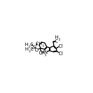 C=Cc1c(Cl)c(Cl)cc2[nH]c3c(c12)CCCC3(O[Si](C)(C)C)C(F)(F)F